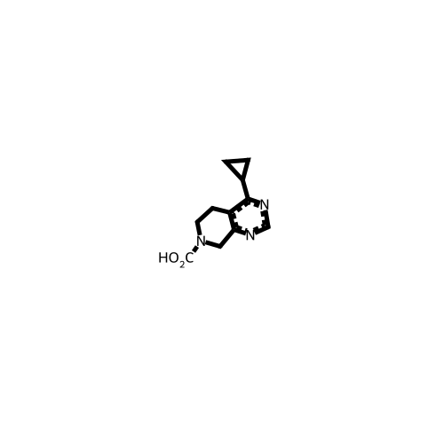 O=C(O)N1CCc2c(ncnc2C2CC2)C1